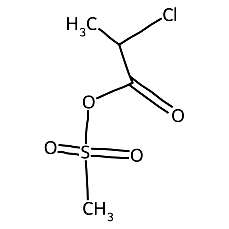 CC(Cl)C(=O)OS(C)(=O)=O